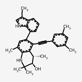 Cc1cc(C)cc(C#Cc2c(-c3cccc4c(C)c[nH]c34)cc(C)c3c2[C@H](C)[C@@H](O)C(C)(C)N3)c1